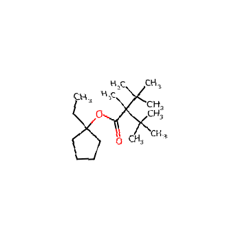 CCC1(OC(=O)C(C)(C(C)(C)C)C(C)(C)C)CCCC1